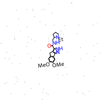 CCN1CCCC1CNC(=O)c1[nH]nc2c1Cc1cc(OC)c(OC)cc1-2